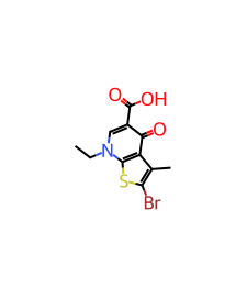 CCn1cc(C(=O)O)c(=O)c2c(C)c(Br)sc21